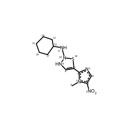 Cn1c([N+](=O)[O-])cnc1C1=CNN(NC2CCCCC2)S1